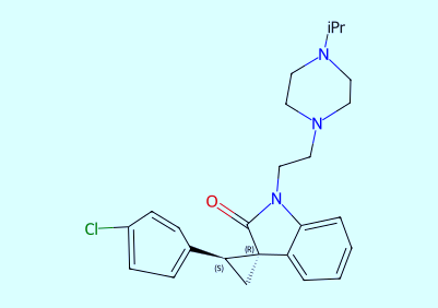 CC(C)N1CCN(CCN2C(=O)[C@@]3(C[C@H]3c3ccc(Cl)cc3)c3ccccc32)CC1